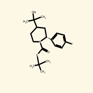 CC(C)(C)OC(=O)N1CCC(C(C)(C)O)C[C@@H]1c1ccc(F)cc1